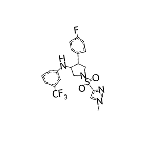 Cn1cnc(S(=O)(=O)N2CC(Nc3cccc(C(F)(F)F)c3)C(c3ccc(F)cc3)C2)c1